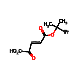 CC(C)C(C)(C)OC(=O)C=CC(=O)C(=O)O